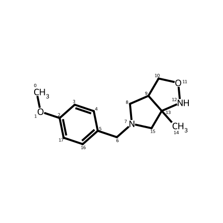 COc1ccc(CN2CC3CONC3(C)C2)cc1